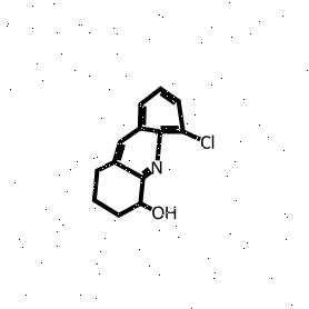 OC1CCCc2cc3cccc(Cl)c3nc21